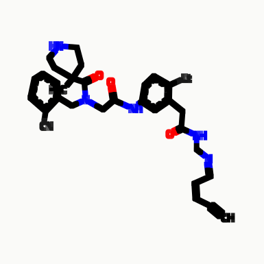 C#C/C=C\C=N/CNC(=O)Cc1cc(NC(=O)CN(Cc2ccccc2C#N)C(=O)C2(C)CCNCC2)ccc1CC